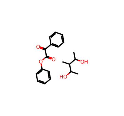 CC(O)C(C)C(C)O.O=C(Oc1ccccc1)C(=O)c1ccccc1